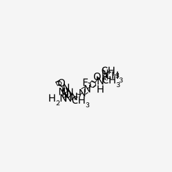 C[C@H](CN(C)C)NC(=O)c1ccc(N2CCN(CCN(C)c3nc(N)n4nc(-c5ccco5)nc4n3)CC2)c(F)c1